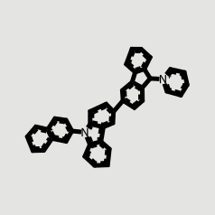 c1cc[n+](C2c3ccccc3-c3cc(-c4ccc5c(c4)c4ccccc4n5-c4ccc5ccccc5c4)ccc32)cc1